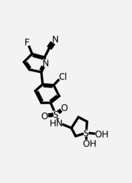 N#Cc1nc(-c2ccc(S(=O)(=O)NC3CCS(O)(O)C3)cc2Cl)ccc1F